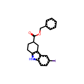 O=C(OCc1ccccc1)C1CCc2[nH]c3ccc(I)cc3c2C1